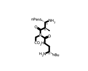 CCCCC[C@H](N)[C@@H](C)C(=O)N(CC(=O)O)C(=O)CC[C@@H](N)CCCC